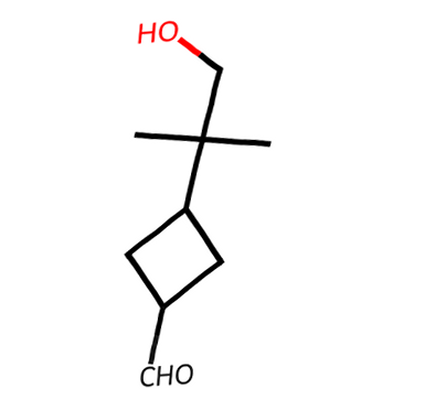 CC(C)(CO)C1CC(C=O)C1